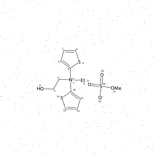 CC[N+](CCO)(c1cccs1)c1cccs1.COS(=O)(=O)[O-]